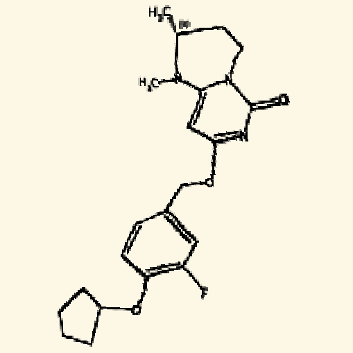 C[C@@H]1CCn2c(cc(OCc3ccc(OC4CCCC4)c(F)c3)nc2=O)N1C